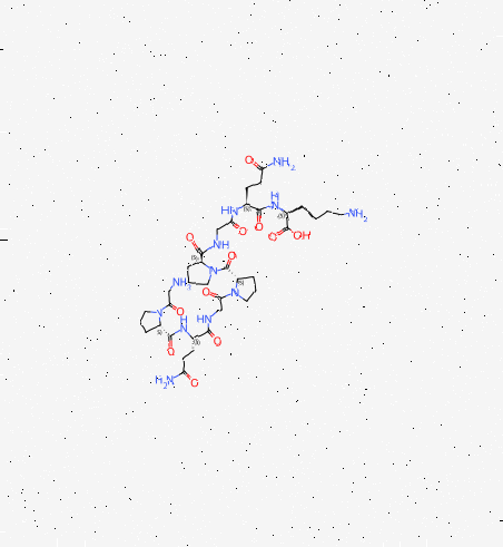 NCCCC[C@H](NC(=O)[C@H](CCC(N)=O)NC(=O)CNC(=O)[C@@H]1CCCN1C(=O)[C@@H]1CCCN1C(=O)CNC(=O)[C@H](CCC(N)=O)NC(=O)[C@@H]1CCCN1C(=O)CN)C(=O)O